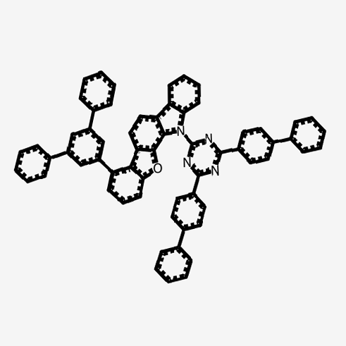 c1ccc(-c2ccc(-c3nc(-c4ccc(-c5ccccc5)cc4)nc(-n4c5ccccc5c5ccc6c(oc7cccc(-c8cc(-c9ccccc9)cc(-c9ccccc9)c8)c76)c54)n3)cc2)cc1